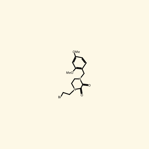 COc1ccc(CN2CCN(CCBr)C(=O)C2=O)c(OC)c1